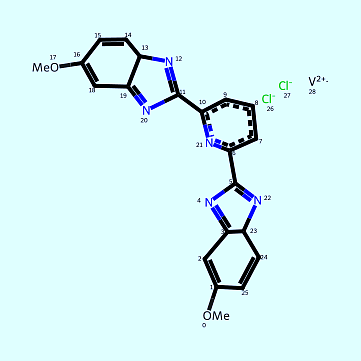 COC1=CC2=NC(c3cccc(C4=NC5C=CC(OC)=CC5=N4)n3)=NC2C=C1.[Cl-].[Cl-].[V+2]